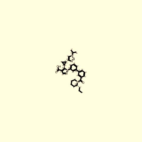 CCC[C@@H]1CCCCN1C(=O)c1cccc(-c2cccc(-n3ncc(C(=O)O)c3[C@H]3C[C@@H]3c3cn(C(C)C)nn3)c2)c1